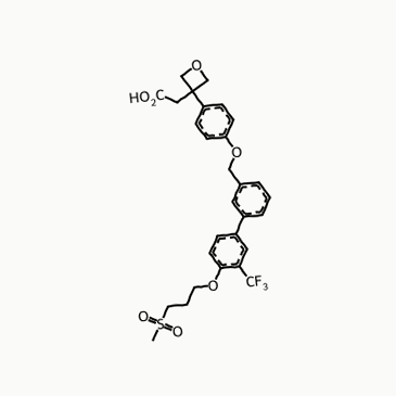 CS(=O)(=O)CCCOc1ccc(-c2cccc(COc3ccc(C4(CC(=O)O)COC4)cc3)c2)cc1C(F)(F)F